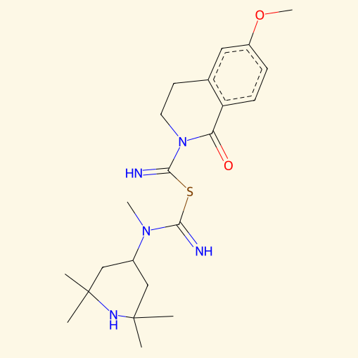 COc1ccc2c(c1)CCN(C(=N)SC(=N)N(C)C1CC(C)(C)NC(C)(C)C1)C2=O